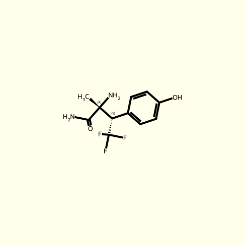 C[C@](N)(C(N)=O)[C@H](c1ccc(O)cc1)C(F)(F)F